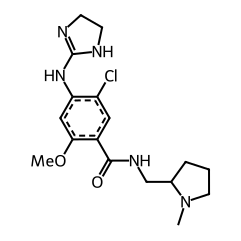 COc1cc(NC2=NCCN2)c(Cl)cc1C(=O)NCC1CCCN1C